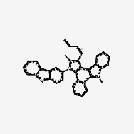 C=C/C=C\c1c(C)n(-c2ccc3sc4ccccc4c3c2)c2c3ccccc3c3c(c4ccccc4n3C)c12